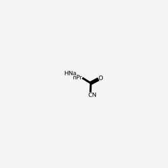 CCCC(=O)C#N.[NaH]